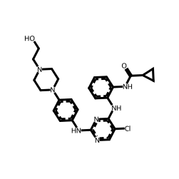 O=C(Nc1ccccc1Nc1nc(Nc2ccc(N3CCN(CCO)CC3)cc2)ncc1Cl)C1CC1